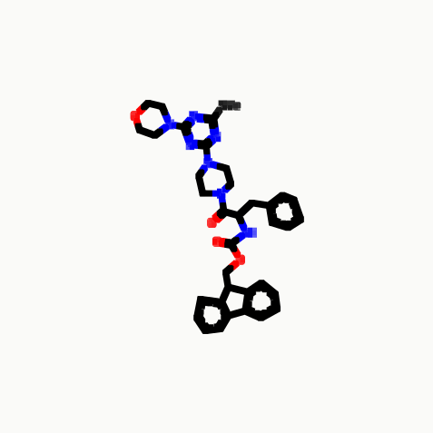 CNc1nc(N2CCOCC2)nc(N2CCN(C(=O)C(Cc3ccccc3)NC(=O)OCC3c4ccccc4-c4ccccc43)CC2)n1